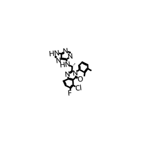 Cc1cccc(-n2c([C@@H](C)Nc3ncnc4[nH]cnc34)nc3ccc(F)c(Cl)c3c2=O)c1C